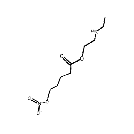 CCNCCOC(=O)CCCCO[N+](=O)[O-]